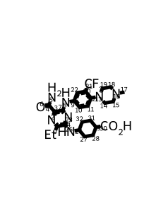 CCc1nc(C(N)=O)c(Nc2ccc(N3CCN(C)CC3)c(C(F)(F)F)c2)nc1NC1CCC(C(=O)O)CC1